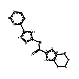 O=C(Nc1nnc(-c2ccccn2)[nH]1)c1cc2c(s1)CCCC2